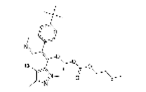 C/N=C\C(=C(\OC(C)OC(=O)OCCSC)c1c(Cl)c(C)nn1C)c1ccc(C(C)(C)C)cc1